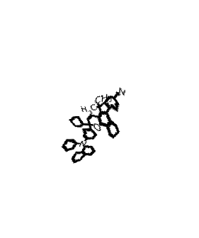 CC1(C)c2cc(C#N)ccc2-c2c1c1c(c3ccccc23)OC(C2=CC=CCC2)(c2ccc(N(c3ccccc3)c3cccc4ccccc34)cc2)C=C1